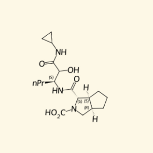 CCC[C@H](NC(=O)[C@@H]1[C@H]2CCC[C@H]2CN1C(=O)O)C(O)C(=O)NC1CC1